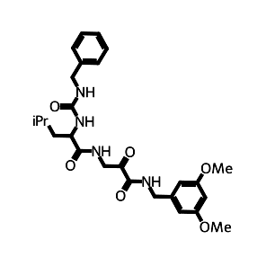 COc1cc(CNC(=O)C(=O)CNC(=O)C(CC(C)C)NC(=O)NCc2ccccc2)cc(OC)c1